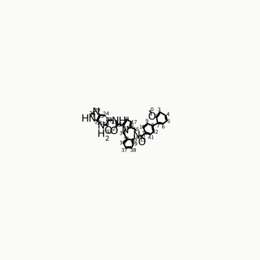 COc1ccccc1-c1ccc(C(=O)N2Cc3ccc(C(=O)N[C@@H](Cc4c[nH]cn4)C(N)=O)n3Cc3ccccc32)cc1